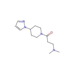 CN(C)CCC(=O)N1CCC(n2c[c]cn2)CC1